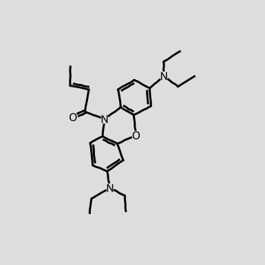 C/C=C/C(=O)N1c2ccc(N(CC)CC)cc2Oc2cc(N(CC)CC)ccc21